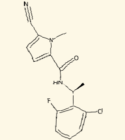 C[C@H](NC(=O)c1ccc(C#N)n1C)c1c(F)cccc1Cl